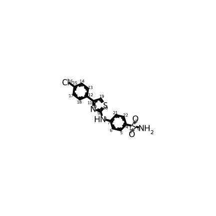 NS(=O)(=O)c1ccc(Nc2nc(-c3ccc(Cl)cc3)cs2)cc1